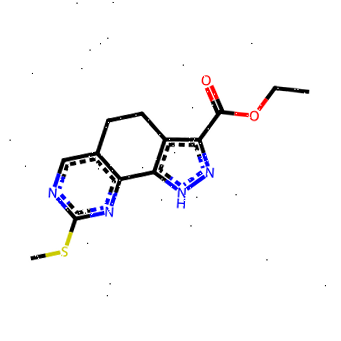 CCOC(=O)c1n[nH]c2c1CCc1cnc(SC)nc1-2